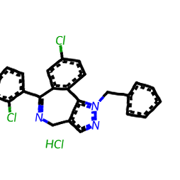 Cl.Clc1ccc2c(c1)C(c1ccccc1Cl)=NCc1cnn(Cc3ccccc3)c1-2